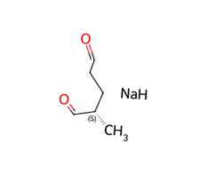 C[C@H](C=O)CCC=O.[NaH]